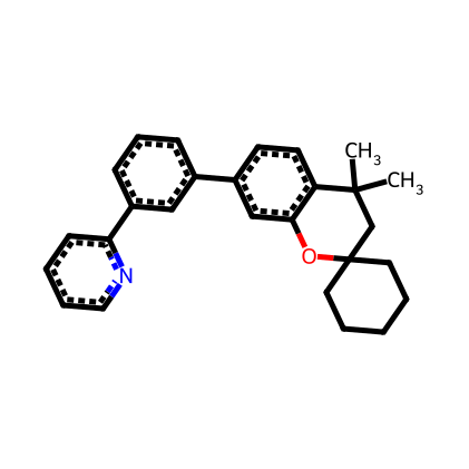 CC1(C)CC2(CCCCC2)Oc2cc(-c3cccc(-c4ccccn4)c3)ccc21